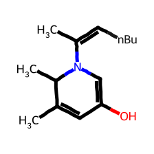 CCCC/C=C(/C)N1C=C(O)C=C(C)C1C